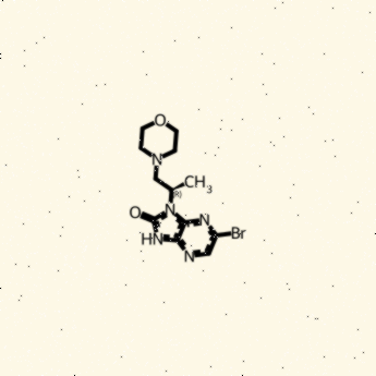 C[C@H](CN1CCOCC1)n1c(=O)[nH]c2ncc(Br)nc21